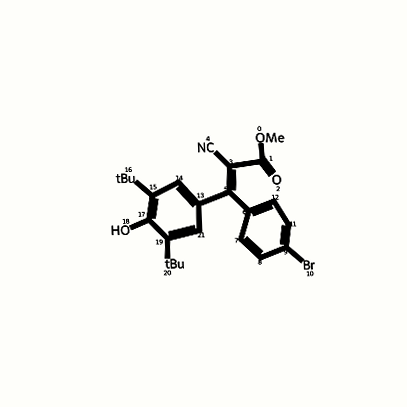 COC(=O)C(C#N)=C(c1ccc(Br)cc1)c1cc(C(C)(C)C)c(O)c(C(C)(C)C)c1